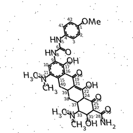 COc1ccc(NC(=O)Nc2cc(N(C)C)c3c(c2O)C(=O)C2=C(O)C4C(=O)C(C(N)=O)C(O)C(N(C)C)C4CC2C3)cc1